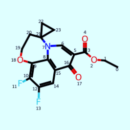 CCOC(=O)c1cn2c3c(c(F)c(F)cc3c1=O)OCCC21CC1